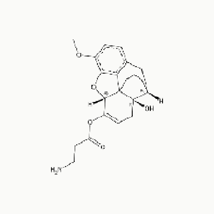 COc1ccc2c3c1O[C@H]1C(OC(=O)CCN)=CC[C@@]4(O)[C@H](CCCC314)C2